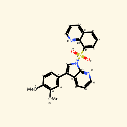 COc1ccc(-c2cn(S(=O)(=O)c3cccc4cccnc34)c3ncccc23)cc1OC